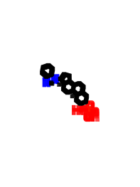 C[C@]12CC[C@H](OP(=O)(O)O)CC1=CCC1C2CC[C@]2(C)C(n3cnc4ccccc43)=CCC12